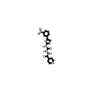 O=C(NNC(=O)c1ccncc1)Nc1nc(-c2cccc([N+](=O)[O-])c2)cs1